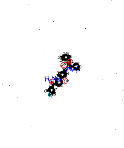 Cc1cc(C(=O)c2ccc(=O)n(-c3ccc(CNC(C(=O)OC4CCCC4)c4ccccc4)cc3)c2N)ccc1F